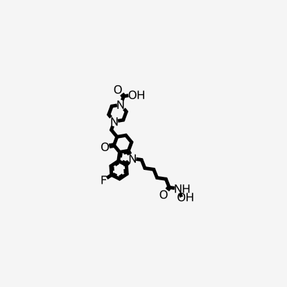 O=C(CCCCCn1c2c(c3cc(F)ccc31)C(=O)C(CN1CCN(C(=O)O)CC1)CC2)NO